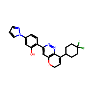 Oc1cc(-n2cccn2)ccc1-c1cc2c(nn1)C(C1CCC(F)(F)CC1)=CCO2